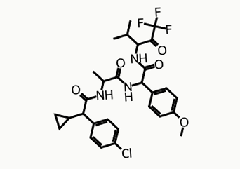 COc1ccc(C(NC(=O)C(C)NC(=O)C(c2ccc(Cl)cc2)C2CC2)C(=O)NC(C(=O)C(F)(F)F)C(C)C)cc1